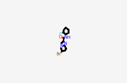 O=C(Nc1ccccc1F)c1cn2cc(Br)ccc2n1